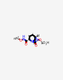 [CH2]CCONC(=O)[C@@H]1CC[C@@H]2CN1C(=O)N2OS(=O)(=O)O